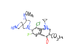 CO/N=C1\CN(c2c(F)cc3c(=O)c(C(=O)O)cn(C4CC4)c3c2Cl)CC12CNC2